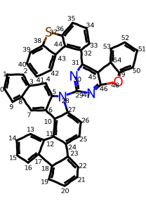 c1ccc2cc3c(cc2c1)c1c2c4ccccc4c4ccccc4c2ccc1n3-c1nc(-c2cccc3sc4ccccc4c23)c2c(n1)oc1ccccc12